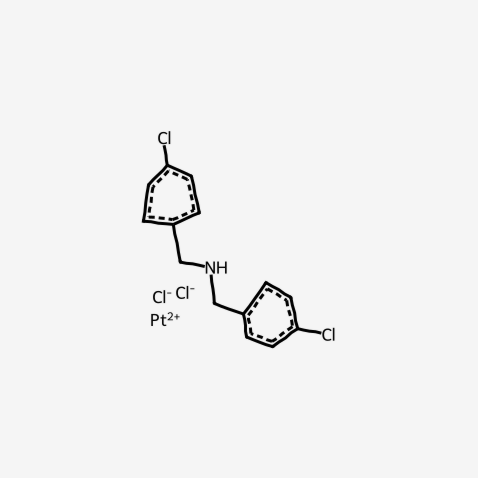 Clc1ccc(CNCc2ccc(Cl)cc2)cc1.[Cl-].[Cl-].[Pt+2]